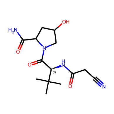 CC(C)(C)[C@H](NC(=O)CC#N)C(=O)N1CC(O)CC1C(N)=O